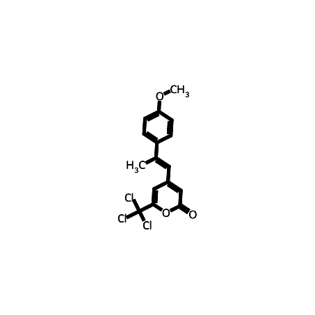 COc1ccc(C(C)=Cc2cc(C(Cl)(Cl)Cl)oc(=O)c2)cc1